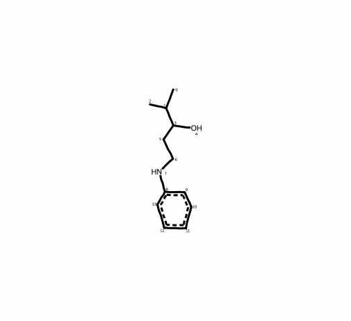 CC(C)C(O)CCNc1ccccc1